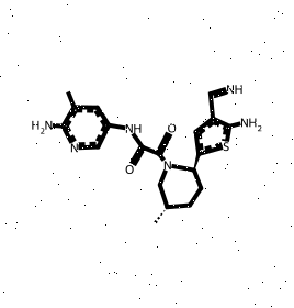 Cc1cc(NC(=O)C(=O)N2C[C@@H](C)CC[C@@H]2c2cc(C=N)c(N)s2)cnc1N